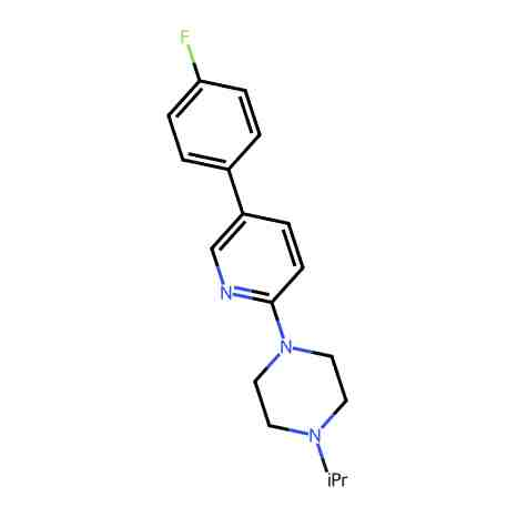 CC(C)N1CCN(c2ccc(-c3ccc(F)cc3)cn2)CC1